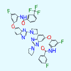 O=C(Nc1cc(F)cc(Oc2ccc3ncc(N4CCCC4)nc3c2)c1)c1cccc(C(F)(F)F)c1.O=C(Nc1cc(F)cc(Oc2ccc3ncc(N4CCCC4)nc3c2)c1)c1cccc(F)c1